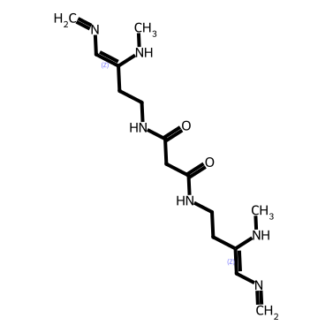 C=N/C=C(/CCNC(=O)CC(=O)NCC/C(=C/N=C)NC)NC